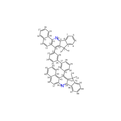 CC1(C)c2ccccc2-c2nc3c(ccc4ccccc43)c(-c3cccc(-c4cccc(-c5c6c(nc7ccc8ccccc8c57)-c5ccccc5C6(C)C)c4)c3)c21